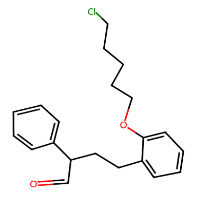 O=CC(CCc1ccccc1OCCCCCCl)c1ccccc1